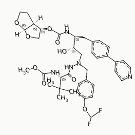 COC(=O)N[C@H](C(=O)NN(Cc1ccc(OC(F)F)cc1)C[C@H](O)[C@H](Cc1ccc(-c2ccncc2)cc1)NC(=O)O[C@H]1CO[C@H]2OCC[C@H]21)C(C)(C)C